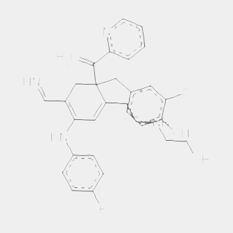 C=C(c1ccccn1)C1(Cc2ccc(C)c(F)c2)CC(C=N)=C(Nc2ccc(F)cc2)C=C1CCNCCO